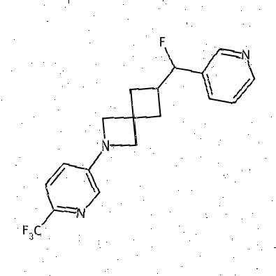 FC(c1cccnc1)C1CC2(C1)CN(c1ccc(C(F)(F)F)nc1)C2